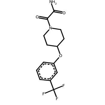 NC(=O)C(=O)N1CCC(Oc2cccc(C(F)(F)F)c2)CC1